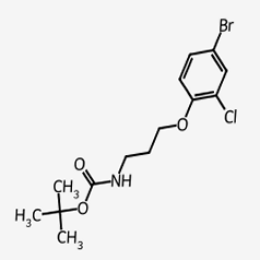 CC(C)(C)OC(=O)NCCCOc1ccc(Br)cc1Cl